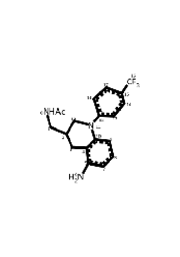 CC(=O)NCC1Cc2c(N)cccc2N(c2ccc(C(F)(F)F)cc2)C1